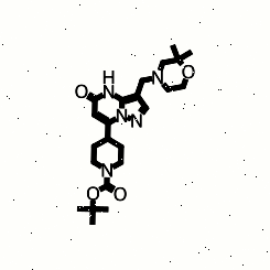 CC(C)(C)OC(=O)N1CCC(c2cc(=O)[nH]c3c(CN4CCOC(C)(C)C4)cnn23)CC1